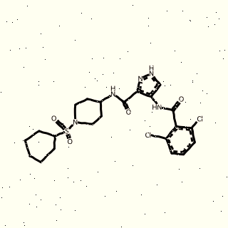 O=C(NC1CCN(S(=O)(=O)C2CCCCC2)CC1)c1n[nH]cc1NC(=O)c1c(Cl)cccc1Cl